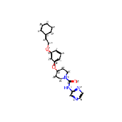 O=C(Nc1cnccn1)N1CCC(Oc2cccc(OCCC3CCCCC3)c2)CC1